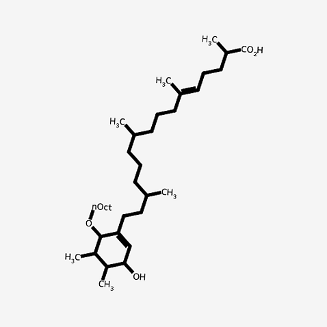 CCCCCCCCOC1C(CCC(C)CCCC(C)CCC/C(C)=C/CCC(C)C(=O)O)=CC(O)C(C)C1C